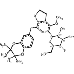 BC1(B)Oc2ccc(Cc3cc([C@@H]4O[C@H](CO)[C@@H](F)[C@H](O)[C@H]4O)c(OC)c4c3OCC4)cc2OC1(B)B